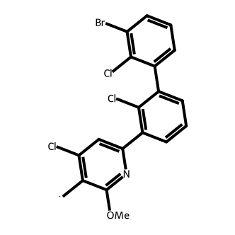 [CH2]c1c(Cl)cc(-c2cccc(-c3cccc(Br)c3Cl)c2Cl)nc1OC